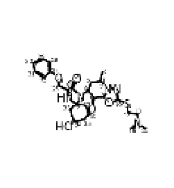 CC(C)CC(C(=O)c1nnc(SCCN(C)C)o1)N(C=O)C1(NC(=O)COc2ccccc2)CCCCC1.Cl